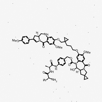 COc1ccc(C2=CN3C(=O)c4cc(OC)c(OCC5(CCCOc6cc7c(cc6OC)C(=O)N6CC8(CC8)C[C@H]6C(O)N7C(=O)OCc6ccc(NC(=O)[C@H](C)NC(=O)[C@@H](N)C(C)C)cc6)CC5)cc4NC[C@@H]3C2)cc1